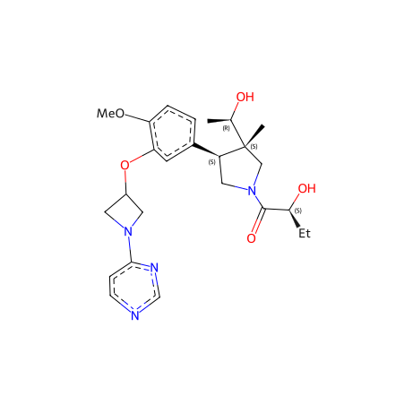 CC[C@H](O)C(=O)N1C[C@@H](c2ccc(OC)c(OC3CN(c4ccncn4)C3)c2)[C@](C)([C@@H](C)O)C1